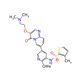 COc1ncc(-c2ccc3ncc(OCCN(C)C)c(=O)n3c2)cc1NS(=O)(=O)c1sccc1C